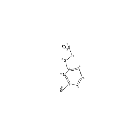 O=[N+]([O-])CSc1cccc(Br)n1